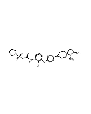 C[C@@H]1OCC2(CCN(c3cnc(Sc4cccc(NC(=O)NS(=O)(=O)N5CCCC5)c4Cl)cn3)CC2)[C@@H]1N